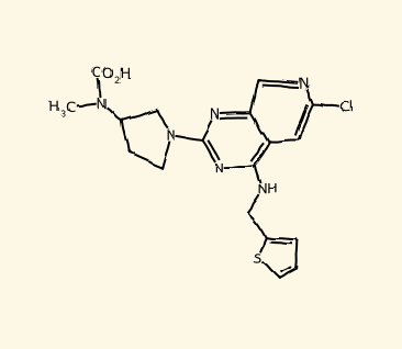 CN(C(=O)O)C1CCN(c2nc(NCc3cccs3)c3cc(Cl)ncc3n2)C1